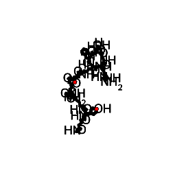 CNC(=O)CCCC(=O)NC(Cc1ccc(O)cc1)C(=O)NCCCCCC(=O)NC(CSC1CC(=O)N(CCC(=O)NCCCCC2NC(=O)C(Cc3ccccc3)NC(=O)C(CC(=O)O)NC(=O)CNC(=O)C(CCCNC(=N)N)NC2=O)C1=O)C(N)=O